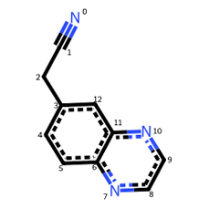 N#CCc1ccc2nccnc2c1